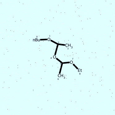 [CH2]CCCOC(C)OC(C)OCC